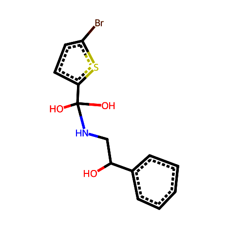 OC(CNC(O)(O)c1ccc(Br)s1)c1ccccc1